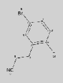 N#CCCc1cc(Br)ccc1F